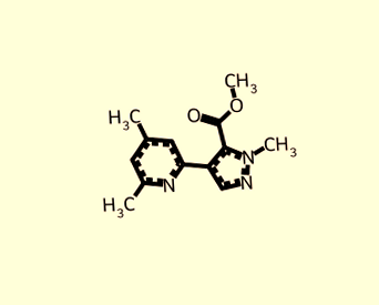 COC(=O)c1c(-c2cc(C)cc(C)n2)cnn1C